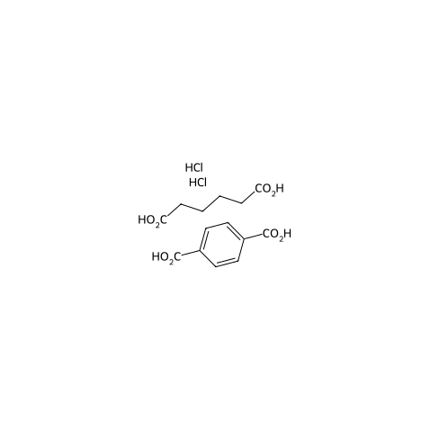 Cl.Cl.O=C(O)CCCCC(=O)O.O=C(O)c1ccc(C(=O)O)cc1